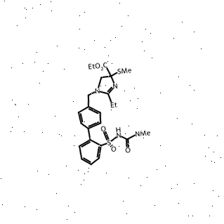 CCOC(=O)C1(SC)CN(Cc2ccc(-c3ccccc3S(=O)(=O)NC(=O)NC)cc2)C(CC)=N1